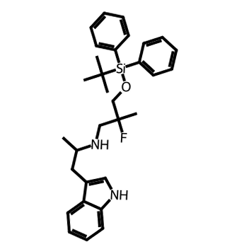 CC(Cc1c[nH]c2ccccc12)NCC(C)(F)CO[Si](c1ccccc1)(c1ccccc1)C(C)(C)C